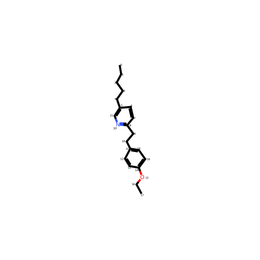 CCCCCc1ccc(CCc2ccc(OCC)cc2)nc1